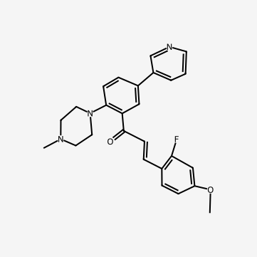 COc1ccc(C=CC(=O)c2cc(-c3cccnc3)ccc2N2CCN(C)CC2)c(F)c1